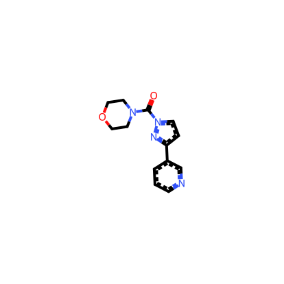 O=C(N1CCOCC1)n1ccc(-c2cccnc2)n1